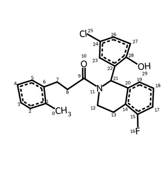 Cc1ccccc1CCC(=O)N1CCc2c(F)cccc2C1c1cc(Cl)ccc1O